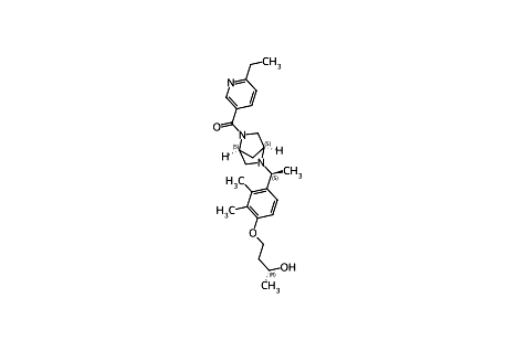 CCc1ccc(C(=O)N2C[C@@H]3C[C@H]2CN3[C@@H](C)c2ccc(OCC[C@@H](C)O)c(C)c2C)cn1